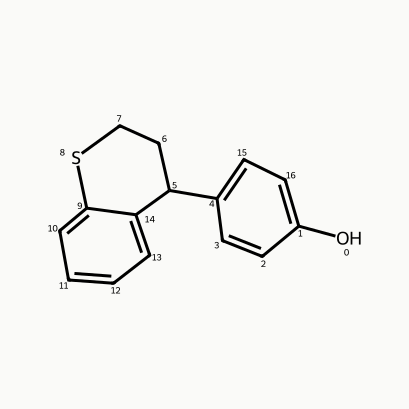 Oc1ccc(C2CCSc3ccccc32)cc1